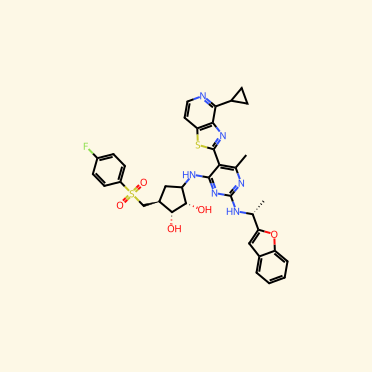 Cc1nc(N[C@H](C)c2cc3ccccc3o2)nc(NC2C[C@H](CS(=O)(=O)c3ccc(F)cc3)[C@@H](O)[C@H]2O)c1-c1nc2c(C3CC3)nccc2s1